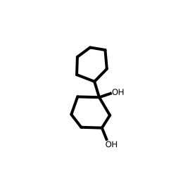 OC1CCCC(O)(C2CCCCC2)C1